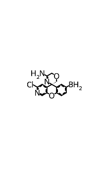 Bc1ccc2c(c1)[C@@]1(COCC(N)=N1)c1cc(Cl)ncc1O2